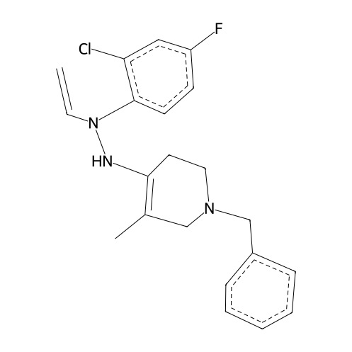 C=CN(NC1=C(C)CN(Cc2ccccc2)CC1)c1ccc(F)cc1Cl